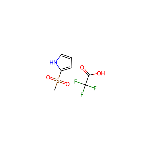 CS(=O)(=O)c1ccc[nH]1.O=C(O)C(F)(F)F